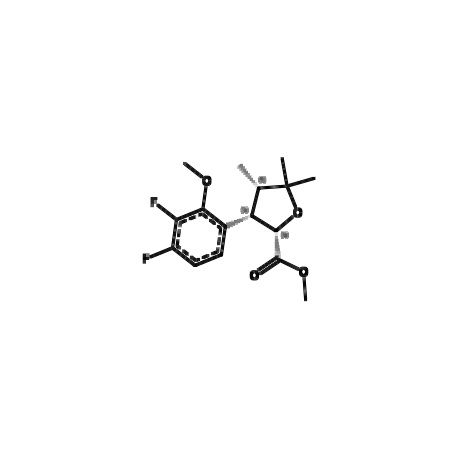 COC(=O)[C@H]1OC(C)(C)[C@@H](C)[C@H]1c1ccc(F)c(F)c1OC